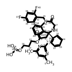 Cc1cc(C)nc(C[C@H](C(=O)OCCCON(O)O)[C@@]2(c3ccccc3)NCC(=O)N(Cc3c(F)cc(F)cc3F)c3ccccc32)n1